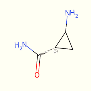 NC(=O)[C@H]1CC1N